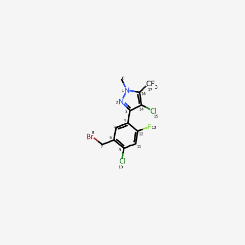 Cn1nc(-c2cc(CBr)c(Cl)cc2F)c(Cl)c1C(F)(F)F